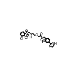 CN(Cc1ccc(C2=NCCN2)cc1F)C(=O)COCCNCS(=O)(=O)c1cccc(Cl)c1Cl